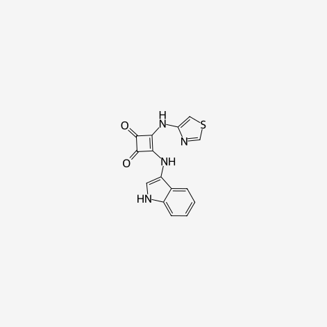 O=c1c(Nc2cscn2)c(Nc2c[nH]c3ccccc23)c1=O